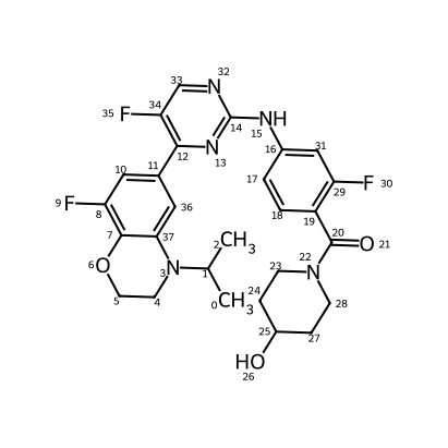 CC(C)N1CCOc2c(F)cc(-c3nc(Nc4ccc(C(=O)N5CCC(O)CC5)c(F)c4)ncc3F)cc21